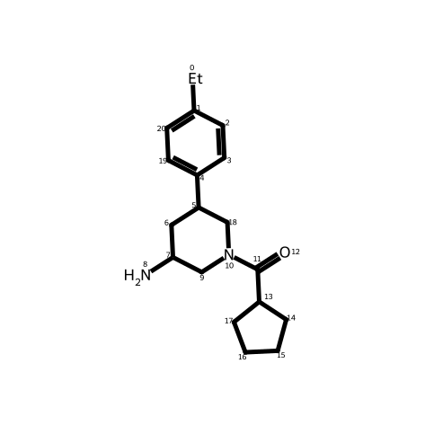 CCc1ccc(C2CC(N)CN(C(=O)C3CCCC3)C2)cc1